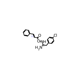 N[C@H](Cc1ccc(Cl)cc1)NOC(=O)/C=C/c1ccccc1